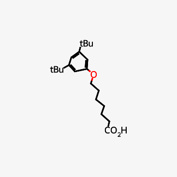 CC(C)(C)c1cc(OCCCCCCC(=O)O)cc(C(C)(C)C)c1